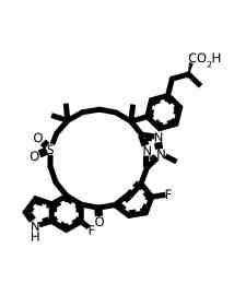 C[C@@H](Cc1cccc(C2(C)CCCC(C)(C)CS(=O)(=O)CCc3c(c(F)cc4[nH]ccc34)C(=O)c3ccc(F)c(c3)-c3nc2nn3C)c1)C(=O)O